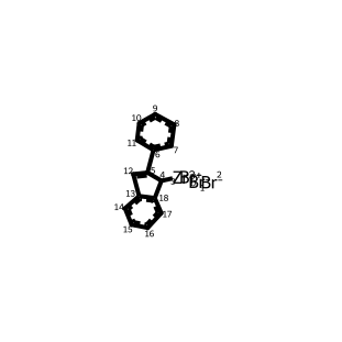 [Br-].[Br-].[Br-].[Zr+3][CH]1C(c2ccccc2)=Cc2ccccc21